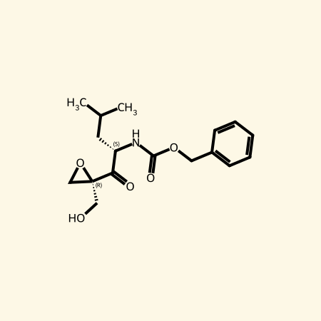 CC(C)C[C@H](NC(=O)OCc1ccccc1)C(=O)[C@@]1(CO)CO1